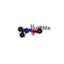 COc1cccc(C=CC(=O)NCCN2CCN(C(c3ccccc3)c3ccccc3)CC2)c1O